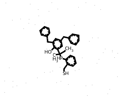 CCC(C)(Pc1ccccc1CS)c1cc(Cc2ccccc2)cc(Cc2ccccc2)c1O